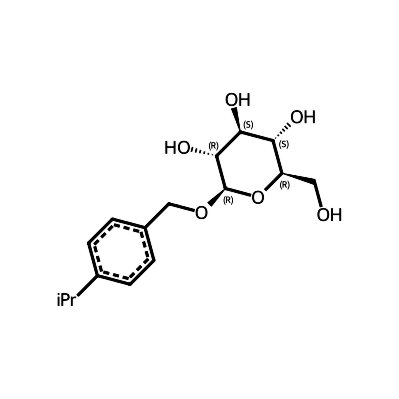 CC(C)c1ccc(CO[C@@H]2O[C@H](CO)[C@@H](O)[C@H](O)[C@H]2O)cc1